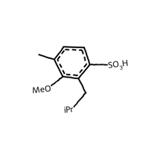 COc1c(C)ccc(S(=O)(=O)O)c1CC(C)C